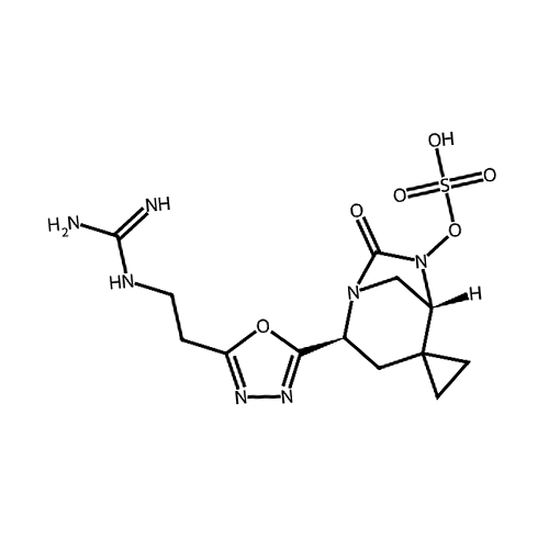 N=C(N)NCCc1nnc([C@@H]2CC3(CC3)[C@@H]3CN2C(=O)N3OS(=O)(=O)O)o1